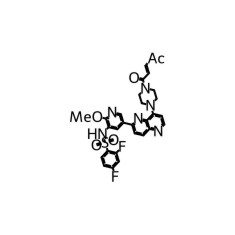 COc1ncc(-c2ccc3nccc(N4CCN(C(=O)C=CC(C)=O)CC4)c3n2)cc1NS(=O)(=O)c1ccc(F)cc1F